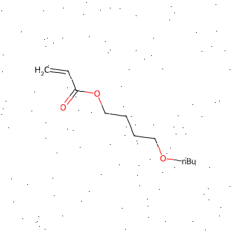 C=CC(=O)OCCCCOCCCC